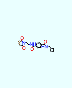 O=C(NCCN1C(=O)CSC1=O)c1ccc(C(=O)NCC2CCC2)cc1